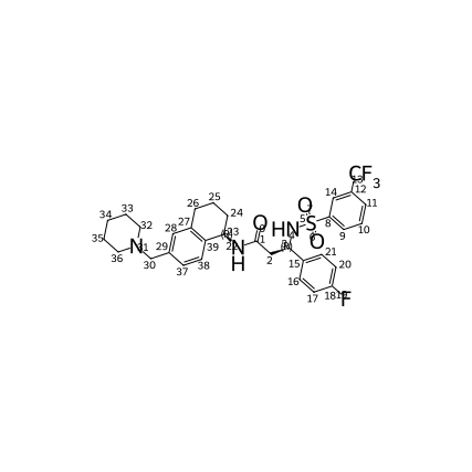 O=C(C[C@@H](NS(=O)(=O)c1cccc(C(F)(F)F)c1)c1ccc(F)cc1)N[C@@H]1CCCc2cc(CN3CCCCC3)ccc21